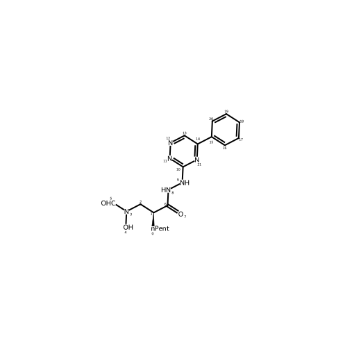 CCCCC[C@@H](CN(O)C=O)C(=O)NNc1nncc(-c2ccccc2)n1